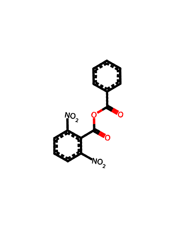 O=C(OC(=O)c1c([N+](=O)[O-])cccc1[N+](=O)[O-])c1ccccc1